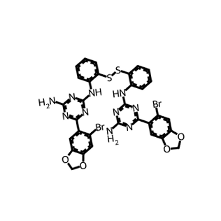 Nc1nc(Nc2ccccc2SSc2ccccc2Nc2nc(N)nc(-c3cc4c(cc3Br)OCO4)n2)nc(-c2cc3c(cc2Br)OCO3)n1